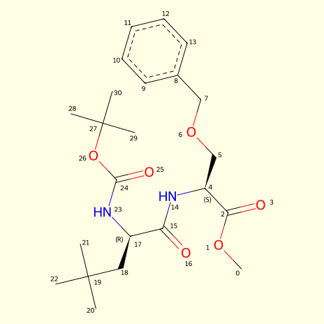 COC(=O)[C@H](COCc1ccccc1)NC(=O)[C@@H](CC(C)(C)C)NC(=O)OC(C)(C)C